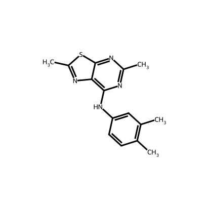 Cc1nc(Nc2ccc(C)c(C)c2)c2nc(C)sc2n1